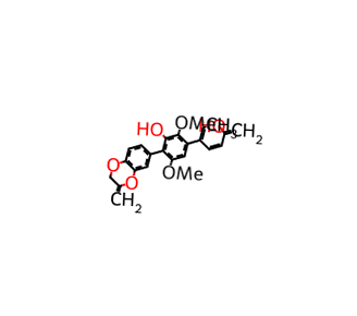 C=C(O)/C=C\C(=C/C)c1cc(OC)c(-c2ccc3c(c2)OC(=C)CO3)c(O)c1OC